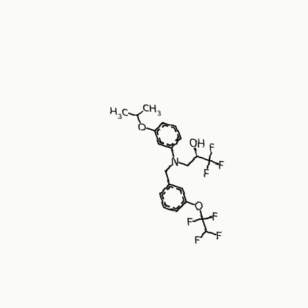 CC(C)Oc1cccc(N(Cc2cccc(OC(F)(F)C(F)F)c2)C[C@@H](O)C(F)(F)F)c1